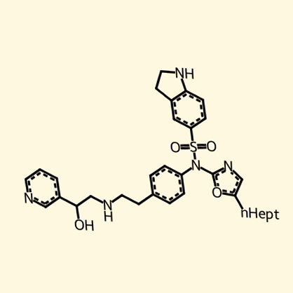 CCCCCCCc1cnc(N(c2ccc(CCNCC(O)c3cccnc3)cc2)S(=O)(=O)c2ccc3c(c2)CCN3)o1